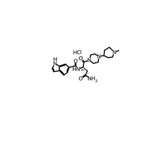 CN1CCC(N2CCN(C(=O)[C@@H](CC(N)=O)NC(=O)c3ccc4cc[nH]c4c3)CC2)CC1.Cl